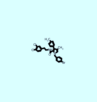 Cc1ccc(-c2c(C)cn(Cc3ccc(Br)cc3)c2C(=O)NCCc2ccc(Cl)c(Cl)c2)cc1